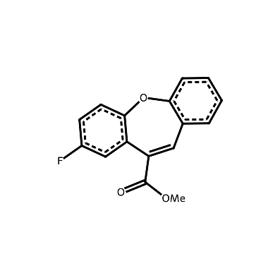 COC(=O)C1=Cc2ccccc2Oc2ccc(F)cc21